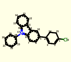 ClC1=CC=C(c2ccc3c(c2)c2ccccc2n3-c2ccccc2)CC1